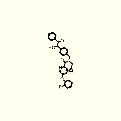 O=C(c1ccccc1)C(O)c1ccc(CN(CC2CC2)C(=O)c2ccc(Oc3ccccc3F)cn2)cc1